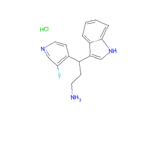 Cl.NCCC(c1ccncc1F)c1c[nH]c2ccccc12